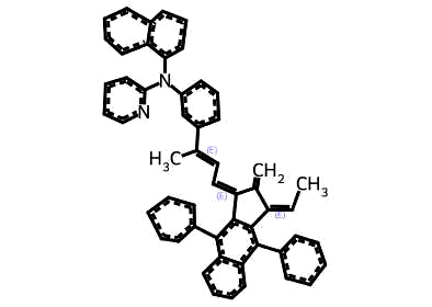 C=C1/C(=C\C)c2c(c(-c3ccccc3)c3ccccc3c2-c2ccccc2)/C1=C/C=C(\C)c1cccc(N(c2ccccn2)c2cccc3ccccc23)c1